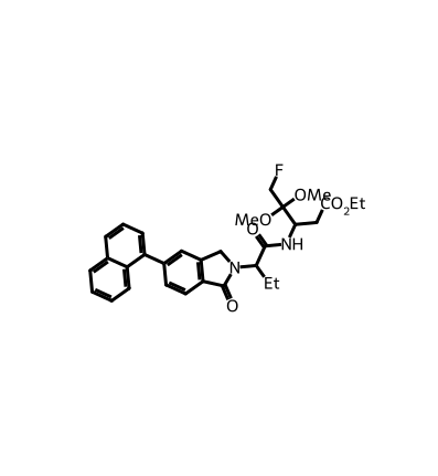 CCOC(=O)CC(NC(=O)C(CC)N1Cc2cc(-c3cccc4ccccc34)ccc2C1=O)C(CF)(OC)OC